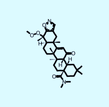 COO[C@]1(C)c2oncc2C[C@]2(C)C3=CC(=O)[C@@H]4[C@@H]5CC(C)(C)CC[C@]5(C(=O)N(C)C)CC[C@@]4(C)[C@]3(C)CC[C@H]21